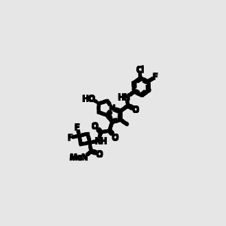 CNC(=O)C1(NC(=O)C(=O)c2c(C)c(C(=O)Nc3ccc(F)c(Cl)c3)n3c2C[C@@H](O)C3)CC(F)(F)C1